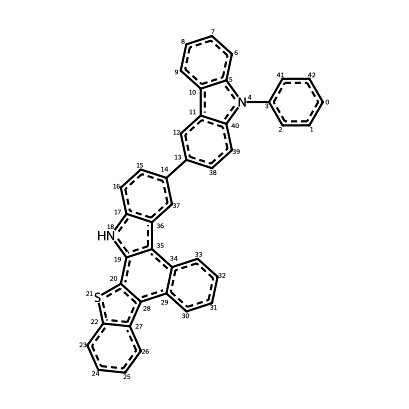 c1ccc(-n2c3ccccc3c3cc(-c4ccc5[nH]c6c7sc8ccccc8c7c7ccccc7c6c5c4)ccc32)cc1